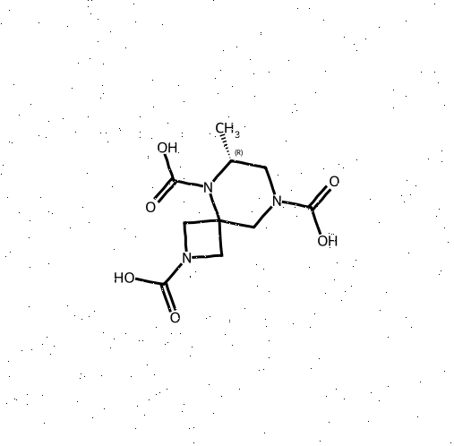 C[C@@H]1CN(C(=O)O)CC2(CN(C(=O)O)C2)N1C(=O)O